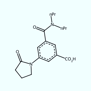 CCCN(CCC)C(=O)c1cc(C(=O)O)cc(N2CCCC2=O)c1